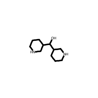 OC(C1CCCNC1)C1CCCNC1